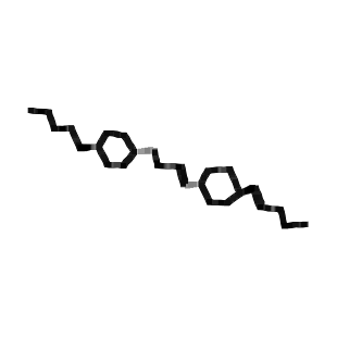 CCC/C=C/[C@H]1CC[C@H](/C=C/CC[C@H]2CC[C@H](CCCCC)CC2)CC1